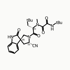 CN(C(=O)C(=O)NC(C)(C)C)[C@@H](CC(C)(C)C)C(=O)N1C[C@]2(C[C@H]1C#N)C(=O)Nc1ccccc12